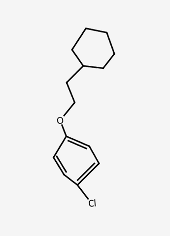 Clc1ccc(OCCC2CCCCC2)cc1